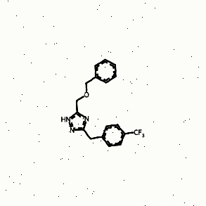 FC(F)(F)c1ccc(Cc2n[nH]c(COCc3ccccc3)n2)cc1